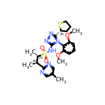 COc1cccc(OC)c1-n1c(NS(=O)(=O)[C@@H](C)[C@H](C)c2ncc(C)cn2)nnc1[C@H]1CCCS1